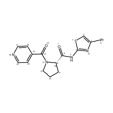 CC(C)c1csc(NC(=O)[C@@H]2CCCN2C(=O)c2ccncc2)n1